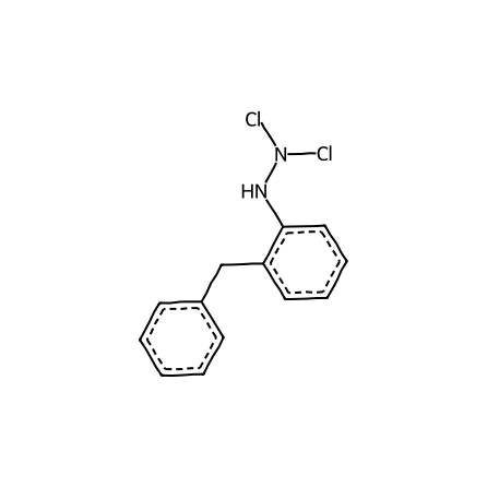 ClN(Cl)Nc1ccccc1Cc1ccccc1